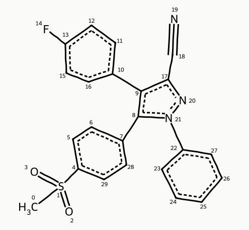 CS(=O)(=O)c1ccc(-c2c(-c3ccc(F)cc3)c(C#N)nn2-c2ccccc2)cc1